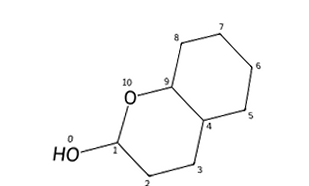 OC1CCC2CCCCC2O1